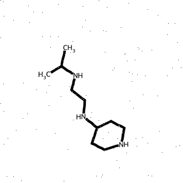 CC(C)NCCNC1CCNCC1